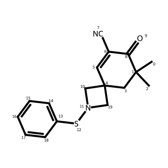 CC1(C)CC2(C=C(C#N)C1=O)CN(Sc1ccccc1)C2